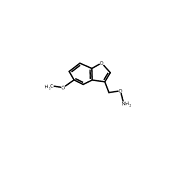 COc1ccc2occ(CON)c2c1